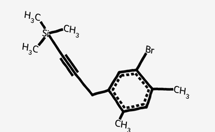 Cc1cc(C)c(CC#C[Si](C)(C)C)cc1Br